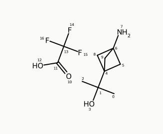 CC(C)(O)C12CC(N)(C1)C2.O=C(O)C(F)(F)F